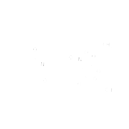 CCOC(=O)C(C(=O)OCC)(c1cccc(CN2C(=O)c3ccccc3C2=O)c1)[N+](=O)[O-]